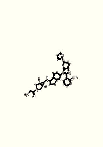 C=CC(=O)N1C[C@@H]2C(NC3CCc4cc(-n5c(-c6cccnc6N)nc6ccc(-n7cccn7)nc65)ccc43)[C@@H]2C1